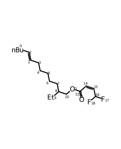 CCCCC=CCCCCCC(CC)COC(=O)/C=C\C(F)F